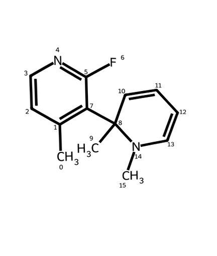 Cc1ccnc(F)c1C1(C)C=CC=CN1C